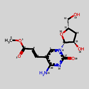 COC(=O)C=Cc1cn([C@@H]2O[C@H](CO)C[C@H]2O)c(=O)nc1N